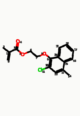 C=C(C)C(=O)OCCOc1c(Cl)cc(C)c2ccccc12